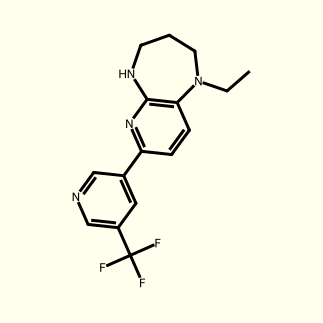 CCN1CCCNc2nc(-c3cncc(C(F)(F)F)c3)ccc21